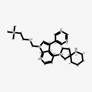 C[Si](C)(C)CCOCn1cc(-c2cncnc2)c2c(N3CCC4(CCCCN4)C3)ccnc21